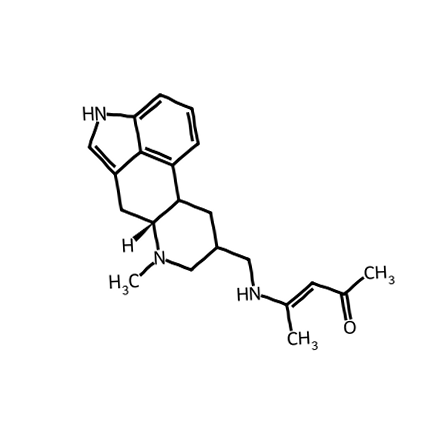 CC(=O)C=C(C)NCC1CC2c3cccc4[nH]cc(c34)C[C@H]2N(C)C1